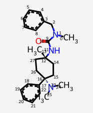 CN(Cc1ccccc1)C(=O)N[C@]1(C)CC[C@](c2ccccc2)(N(C)C)CC1